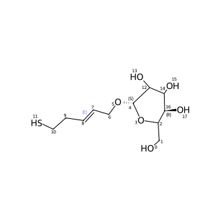 OCC1O[C@H](OC/C=C/CCS)C(O)C(O)[C@H]1O